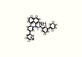 N=C(/C=C(/c1cccc(-c2cccnc2)c1)c1cccc2ccccc12)c1cccc(C2=CC=CCC2)c1